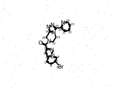 O=C(c1cc2ccc(Br)cn2n1)N1CCn2c(nnc2-c2ccccn2)C1